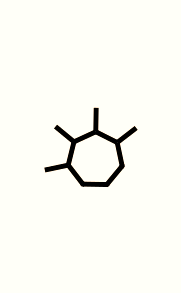 CC1CCCC(C)C(C)C1C